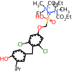 CCOC(=O)[N+](C)(CC)N([N+](C)(CC)C(=O)OCC)P(=O)(O)COc1cc(Cl)c(Cc2ccc(O)c(C(C)C)c2)c(Cl)c1